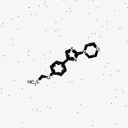 O=C(O)COc1ccc(-c2csc(N3CCOCC3)n2)cc1